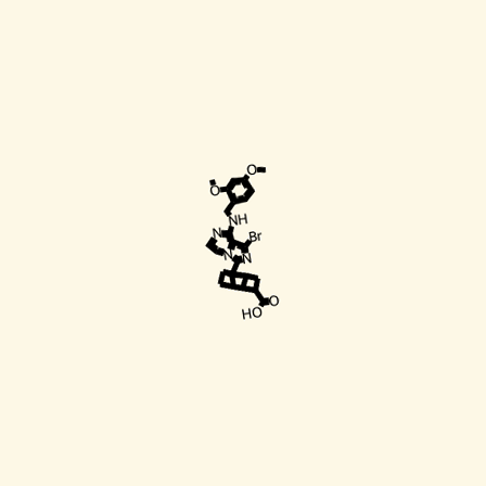 COc1ccc(CNc2nccn3c(C45C6C7C4C4C5C6C74C(=O)O)nc(Br)c23)c(OC)c1